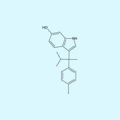 CC(C)C(C)(c1ccc(I)cc1)c1c[nH]c2cc(O)ccc12